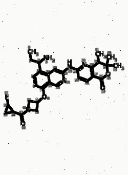 CCC(N)c1ccc(OC2CN(C(=O)C3CC3F)C2)c2cnc(Nc3ccc4c(n3)C(C)C(C)(C)OC4=O)cc12